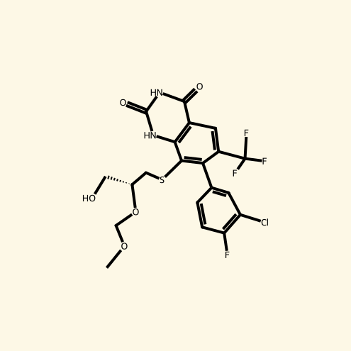 COCO[C@H](CO)CSc1c(-c2ccc(F)c(Cl)c2)c(C(F)(F)F)cc2c(=O)[nH]c(=O)[nH]c12